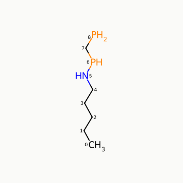 CCCCCNPCP